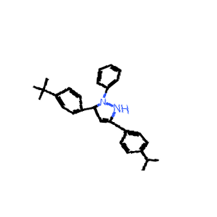 CC(C)c1ccc(C2=CC(c3ccc(C(C)(C)C)cc3)N(c3ccccc3)N2)cc1